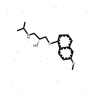 COc1ccc2c(OC[C@H](O)CNC(C)C)cccc2c1